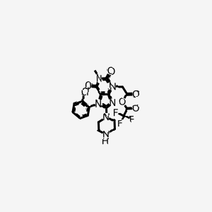 Cn1c(=O)c2c(nc(N3CCNCC3)n2-c2ccccc2Cl)n(CC(=O)OC(=O)C(F)(F)F)c1=O